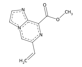 C=Cc1cn2ccnc2c(C(=O)OC)n1